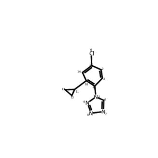 Clc1ccc(-n2cnnn2)c(C2CC2)c1